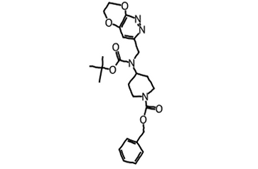 CC(C)(C)OC(=O)N(Cc1cc2c(nn1)OCCO2)C1CCN(C(=O)OCc2ccccc2)CC1